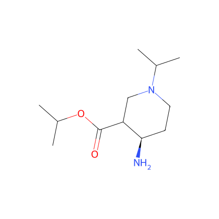 CC(C)OC(=O)C1CN(C(C)C)CC[C@H]1N